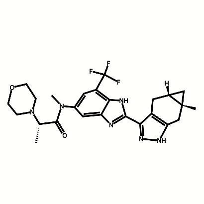 C[C@@H](C(=O)N(C)c1cc(C(F)(F)F)c2[nH]c(-c3n[nH]c4c3C[C@@H]3C[C@]3(C)C4)nc2c1)N1CCOCC1